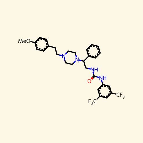 COc1ccc(CCN2CCN(C(CNC(=O)Nc3cc(C(F)(F)F)cc(C(F)(F)F)c3)c3ccccc3)CC2)cc1